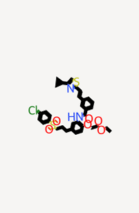 CCOC(=O)COc1ccc(CCCS(=O)(=O)c2ccc(Cl)cc2)cc1NC(=O)c1cccc(C=Cc2nc(C3CC3)cs2)c1